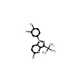 CC(C)(C)c1nn(-c2ccc(Cl)c(F)c2)c2ccc(Cl)nc12